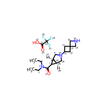 CCN(CC)C(=O)C1[C@H]2CN(C3CC4(CNC4)C3)C[C@@H]12.O=C(O)C(F)(F)F